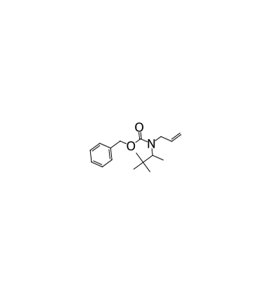 C=CCN(C(=O)OCc1ccccc1)C(C)C(C)(C)C